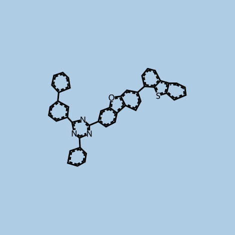 c1ccc(-c2cccc(-c3nc(-c4ccccc4)nc(-c4ccc5c(c4)oc4cc(-c6cccc7c6sc6ccccc67)ccc45)n3)c2)cc1